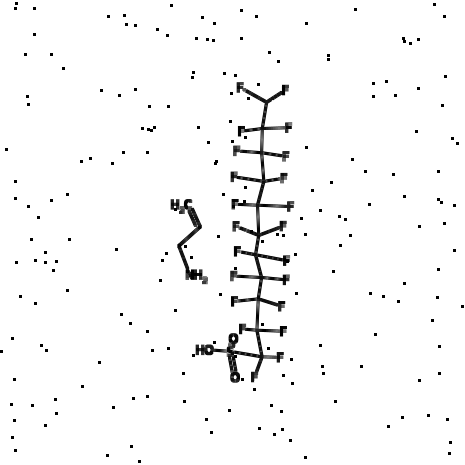 C=CCN.O=S(=O)(O)C(F)(F)C(F)(F)C(F)(F)C(F)(F)C(F)(F)C(F)(F)C(F)(F)C(F)(F)C(F)(F)C(F)(F)C(F)F